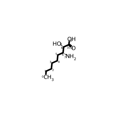 CCCCCC[C@@H](N)[C@H](O)C(=O)O